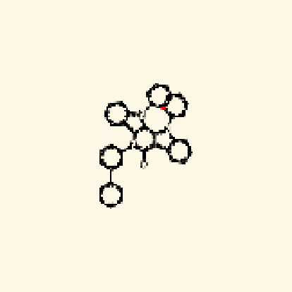 O=c1c2c3ccccc3n(-c3ccccc3)c2c2c(c3ccccc3n2-c2ccccc2)n1-c1cccc(-c2ccccc2)c1